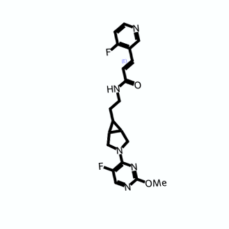 COc1ncc(F)c(N2CC3C(CCNC(=O)/C=C/c4cnccc4F)C3C2)n1